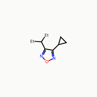 CCC(CC)c1nonc1C1CC1